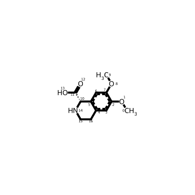 COc1cc2c(cc1OC)[C@@H](C(=O)O)NCC2